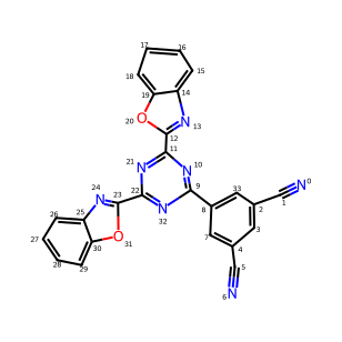 N#Cc1cc(C#N)cc(-c2nc(-c3nc4ccccc4o3)nc(-c3nc4ccccc4o3)n2)c1